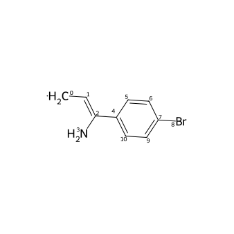 [CH2]C=C(N)c1ccc(Br)cc1